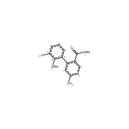 COC(=O)c1cnc(C)cc1-c1cccc(F)c1OC